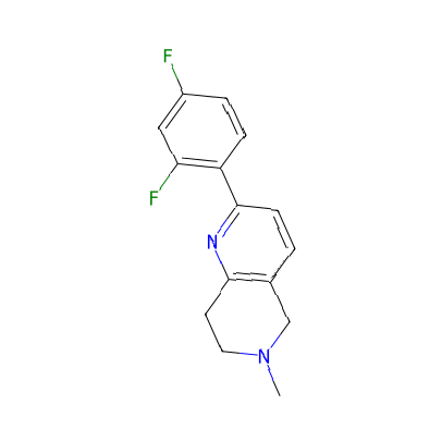 CN1CCc2nc(-c3ccc(F)cc3F)ccc2C1